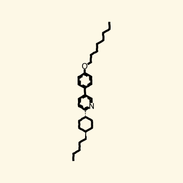 CCCCCCCCOc1ccc(-c2ccc([C@H]3CC[C@H](CCCCC)CC3)nc2)cc1